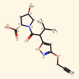 C#CCOc1cc(C(C(=O)N2C[C@H](O)C[C@H]2C(=O)O)C(C)C)on1